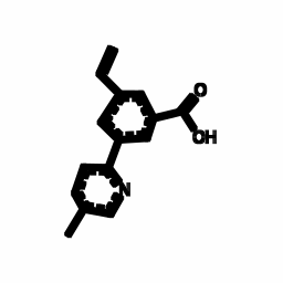 C=Cc1cc(C(=O)O)cc(-c2ccc(C)cn2)c1